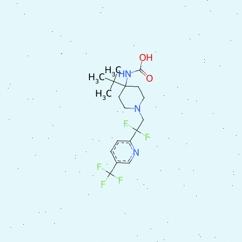 CC(C)(C)C1(NC(=O)O)CCN(CC(F)(F)c2ccc(C(F)(F)F)cn2)CC1